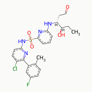 CC[C@@H](O)[C@@H](CC=O)Nc1cccc(S(=O)(=O)Nc2ccc(Cl)c(-c3cc(F)ccc3C)n2)n1